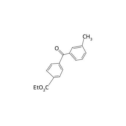 CCOC(=O)c1ccc(C(=O)c2cccc(C)c2)cc1